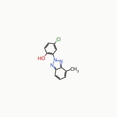 Cc1cccc2nn(-c3cc(Cl)ccc3O)nc12